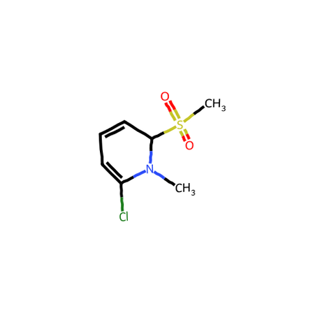 CN1C(Cl)=CC=CC1S(C)(=O)=O